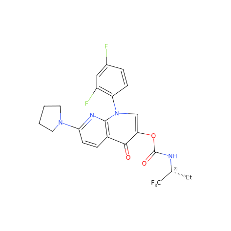 CC[C@@H](NC(=O)Oc1cn(-c2ccc(F)cc2F)c2nc(N3CCCC3)ccc2c1=O)C(F)(F)F